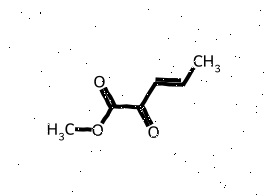 C/C=C/C(=O)C(=O)OC